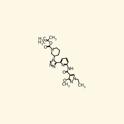 CCn1cc(C(=O)Nc2cccc(-c3nncn3C3CCCN(C(=O)OC(C)(C)C)C3)n2)c(OC)n1